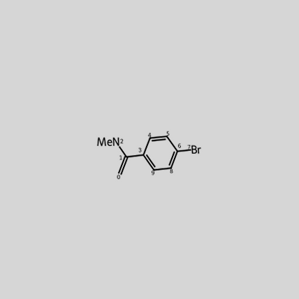 C=C(NC)c1ccc(Br)cc1